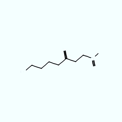 CCCCCC(=O)CC[N+](=O)[O-]